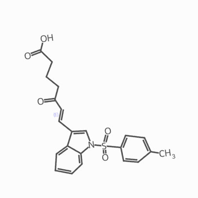 Cc1ccc(S(=O)(=O)n2cc(/C=C/C(=O)CCCC(=O)O)c3ccccc32)cc1